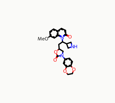 COc1ccc2ccc(=O)n(C(CC3CN(c4ccc5c(c4)OCCO5)C(=O)O3)C3CNC3)c2c1